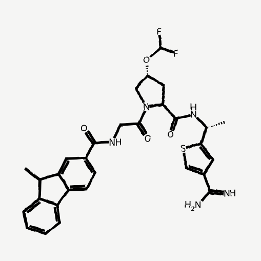 CC1c2ccccc2-c2ccc(C(=O)NCC(=O)N3C[C@H](OC(F)F)CC3C(=O)N[C@H](C)c3cc(C(=N)N)cs3)cc21